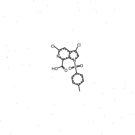 Cc1ccc(S(=O)(=O)n2cc(Cl)c3cc(Cl)nc(C(=O)O)c32)cc1